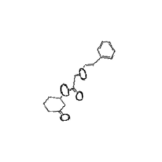 O=C1CCCC(OC(=O)COC=Cc2ccccc2)C1